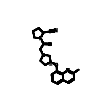 Cc1ccc2cccc(O[C@H]3CCN(CC(=O)N4CCCC4C#N)C3)c2n1